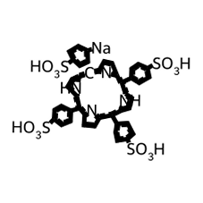 O=S(=O)(O)c1cc[c]([Na])cc1.O=S(=O)(O)c1ccc(-c2c3nc(c(-c4ccc(S(=O)(=O)O)cc4)c4ccc([nH]4)c(-c4ccc(S(=O)(=O)O)cc4)c4nc(cc5ccc2[nH]5)C=C4)C=C3)cc1